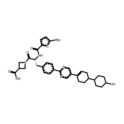 CCCC1CCC(C2CC=C(c3cnc(-c4ccc(C[C@@H](NC(=O)c5ccc(C(C)(C)C)s5)C(=O)N5CC(C(=O)N=O)C5)cc4)nc3)CC2)CC1